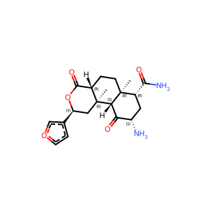 C[C@@]12CC[C@H]3C(=O)O[C@H](c4ccoc4)C[C@]3(C)[C@H]1C(=O)[C@@H](N)C[C@H]2C(N)=O